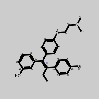 CC/C(=C(/c1ccc(OCCN(C)C)cc1)c1cccc(O)c1)c1ccc(Br)cc1